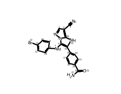 N#Cc1cnn2c(Nc3ccc(Br)cc3)c(-c3ccc(C(N)=O)cc3)[nH]c12